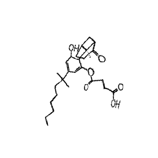 CCCCCCC(C)(C)C1=CC(O)C([C@@]2(C)C3CCC(=O)C2C3)C(OC(=O)CCC(=O)O)=C1